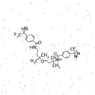 CC(C)(CCOC(C)(C)CCNC(=O)c1ccc(C2(C(F)(F)F)C=N2)cc1)NC(=O)c1ccc(C2(C(F)(F)F)N=N2)cc1